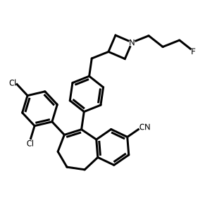 N#Cc1ccc2c(c1)C(c1ccc(CC3CN(CCCF)C3)cc1)=C(c1ccc(Cl)cc1Cl)CCC2